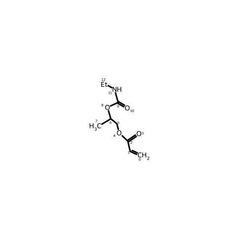 C=CC(=O)OCC(C)OC(=O)NCC